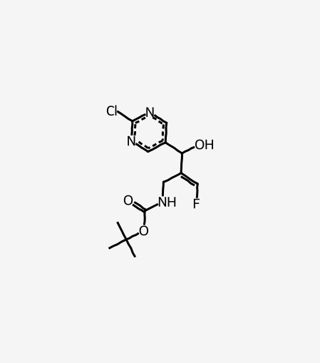 CC(C)(C)OC(=O)NC/C(=C\F)C(O)c1cnc(Cl)nc1